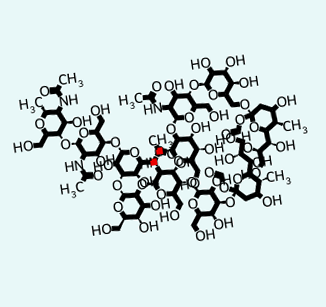 CC(=O)NC1C(O)[C@H](O[C@@H]2OC(CO[C@]3(OC=O)CC(O)[C@@H](C)C([C@H](O)[C@H](O)CO)O3)[C@H](O)[C@H](O)C2O)C(CO)O[C@H]1OC1[C@@H](OCC2O[C@@H](O[C@@H]3C(CO)O[C@@H](O[C@@H]4C(CO)O[C@@H](C)C(NC(C)=O)[C@H]4O)C(NC(C)=O)[C@H]3O)C(O)[C@@H](O[C@H]3O[C@H](CO)[C@@H](O)C(O)C3O[C@@H]3OC(CO)[C@@H](O[C@@H]4OC(CO)[C@H](O)[C@H](O[C@]5(OC=O)CC(O)[C@@H](C)C([C@H](O)[C@H](O)CO)O5)C4O)[C@H](O)C3NC(C)=O)[C@@H]2O)OC(CO)[C@@H](O)[C@@H]1O